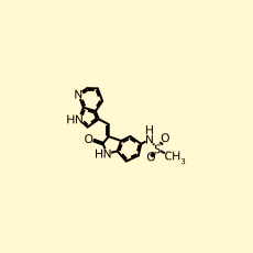 CS(=O)(=O)Nc1ccc2c(c1)C(=Cc1c[nH]c3ncccc13)C(=O)N2